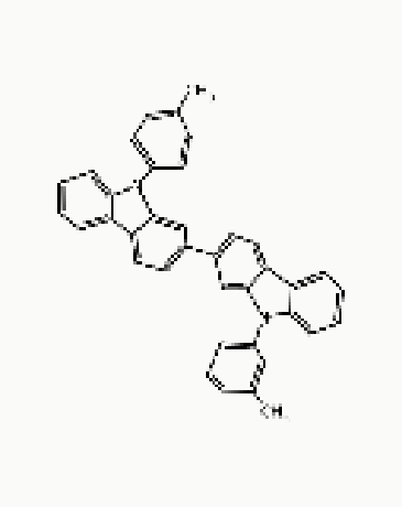 Cc1ccc(-n2c3ccccc3c3ccc(-c4ccc5c6ccccc6n(-c6cccc(C)c6)c5c4)cc32)cc1